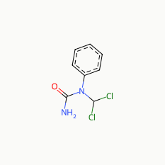 NC(=O)N(c1ccccc1)C(Cl)Cl